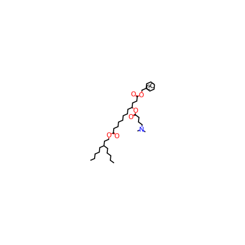 CCCCCC(CCCCC)CCOC(=O)CCCCCCCC(CCC(=O)OCC12CCC(CC1)CC2)OC(=O)CCCN(C)C